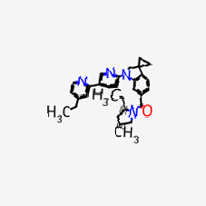 CCc1ccnc(-c2ccc(N3CC4(CC4)c4ccc(C(=O)N5C[C@@H](C)C[C@H]5CC)cc43)nc2)c1